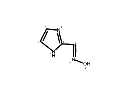 ON=Cc1ncc[nH]1